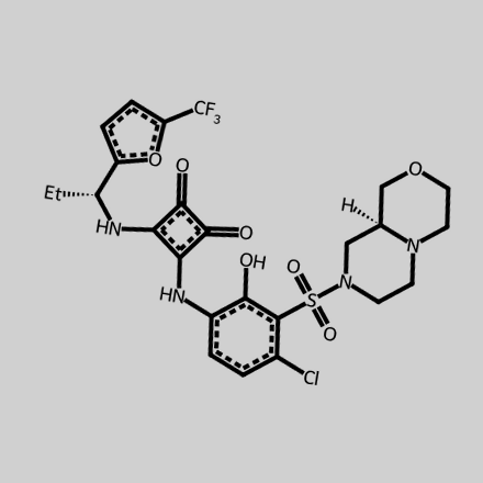 CC[C@@H](Nc1c(Nc2ccc(Cl)c(S(=O)(=O)N3CCN4CCOC[C@@H]4C3)c2O)c(=O)c1=O)c1ccc(C(F)(F)F)o1